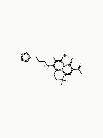 CC(=O)c1cn2c3c(c(NCCCn4ccnc4)c(F)c(N)c3c1=O)OCC2(C)C